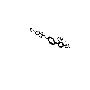 CCc1ccc(OC(=O)CCc2ccc(-c3ccc(CC)cc3C)cc2)cc1